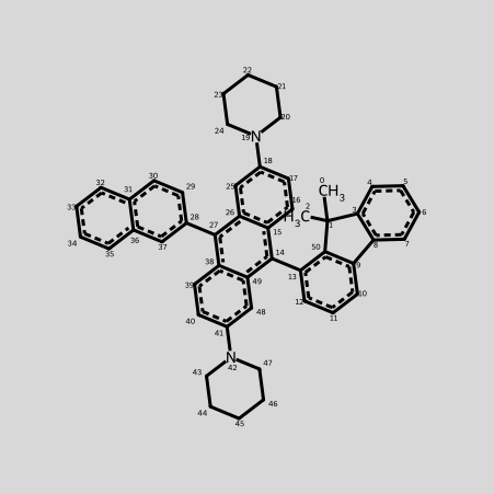 CC1(C)c2ccccc2-c2cccc(-c3c4ccc(N5CCCCC5)cc4c(-c4ccc5ccccc5c4)c4ccc(N5CCCCC5)cc34)c21